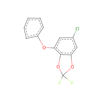 FC1(F)Oc2cc(Cl)cc(Oc3ccccc3)c2O1